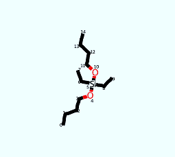 CCCCO[Si](CC)(CC)OCCCC